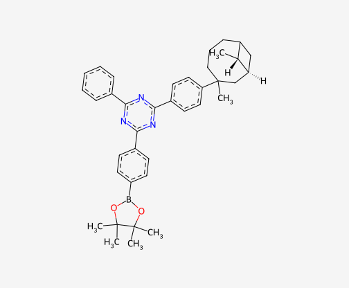 C[C@@H]1C2CCCC(C)(c3ccc(-c4nc(-c5ccccc5)nc(-c5ccc(B6OC(C)(C)C(C)(C)O6)cc5)n4)cc3)C[C@@H]1C2